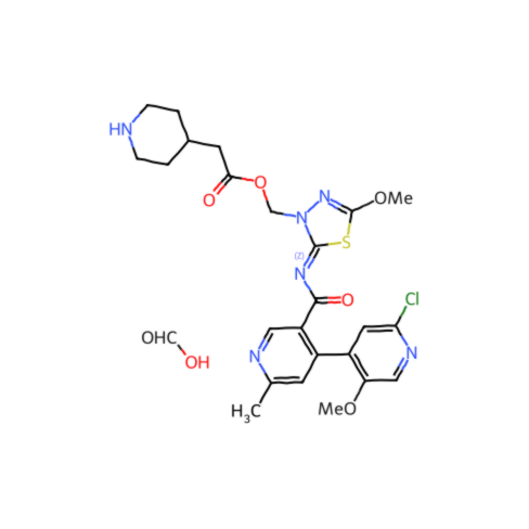 COc1nn(COC(=O)CC2CCNCC2)/c(=N/C(=O)c2cnc(C)cc2-c2cc(Cl)ncc2OC)s1.O=CO